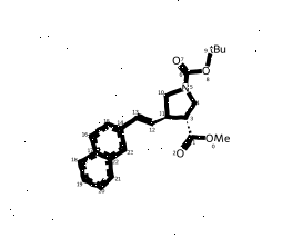 COC(=O)[C@H]1CN(C(=O)OC(C)(C)C)C[C@@H]1C=Cc1ccc2ccccc2c1